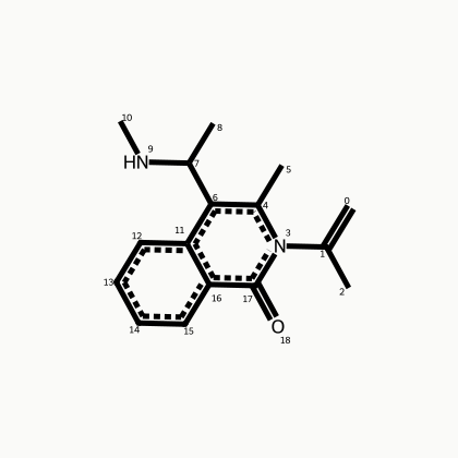 C=C(C)n1c(C)c(C(C)NC)c2ccccc2c1=O